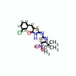 CC(C)(C)c1nc(N=C2NC(=O)C(=Cc3cccc(Cl)c3)S2)sc1[N+](=O)[O-]